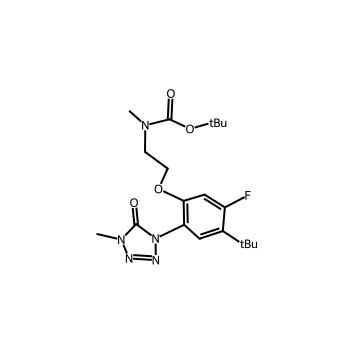 CN(CCOc1cc(F)c(C(C)(C)C)cc1-n1nnn(C)c1=O)C(=O)OC(C)(C)C